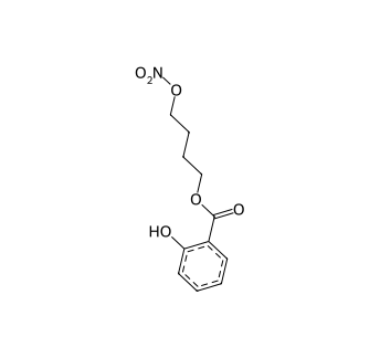 O=C(OCCCCO[N+](=O)[O-])c1ccccc1O